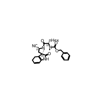 CCCCCC[C@@H](C(=O)N1C[C@]2(C[C@H]1C#N)C(=O)NC1=C2CCC=C1)N(C)C(=O)OCc1ccccc1